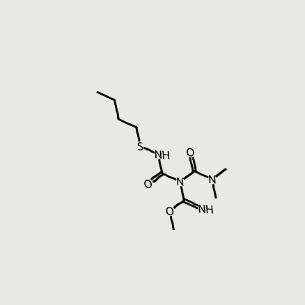 CCCCSNC(=O)N(C(=N)OC)C(=O)N(C)C